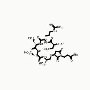 CC(=O)N[C@@H](CC(=O)O)C(=O)N[C@@H](CCCNC(=N)N)C(=O)N[C@@H](CC(=O)O)C(=O)N[C@@H](CC(=O)O)C(=O)N[C@@H](CSC1CC(=O)N(CCC(=O)C(C)(C)C)C1=O)C(=O)O